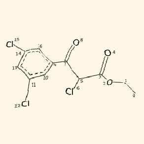 CCOC(=O)C(Cl)C(=O)c1cc(Cl)cc(Cl)c1